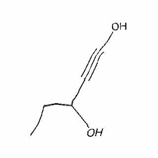 CCC(O)C#CO